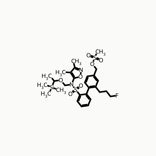 Cc1noc(N(COC(C)[Si](C)(C)C)S(=O)(=O)c2ccccc2-c2ccc(COS(C)(=O)=O)cc2CCCF)c1C